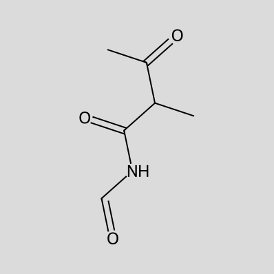 CC(=O)C(C)C(=O)NC=O